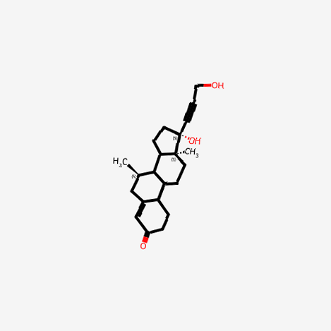 C[C@@H]1CC2=CC(=O)CCC2C2CC[C@@]3(C)C(CC[C@@]3(O)C#CCO)C21